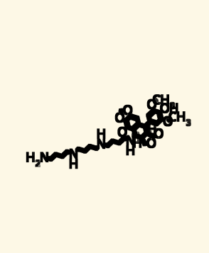 COc1cc(C2c3cc4c(cc3[C@@H](NC(=O)CCCNCCCCNCCCCN)[C@H]3COC(=O)[C@H]23)OCO4)cc(OC)c1O